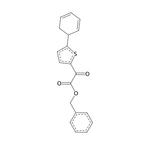 O=C(OCc1ccccc1)C(=O)c1ccc(C2C=CC=CC2)s1